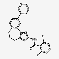 O=C(Nc1cc2c(s1)-c1cc(-c3cccnc3)ccc1CCC2)c1c(F)cccc1F